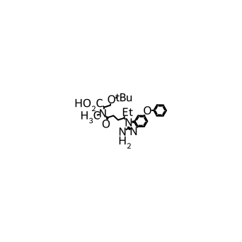 CCC(CCC(=O)N(C)C(COC(C)(C)C)C(=O)O)n1c(N)nc2ccc(Oc3ccccc3)cc21